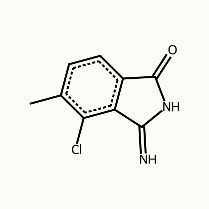 Cc1ccc2c(c1Cl)C(=N)NC2=O